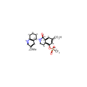 COc1cnc2c(c1)[C@@H](N1CCc3c(OS(=O)(=O)C(F)(F)F)cc(C(=O)O)cc3C1=O)CCC2